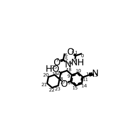 CC(=O)NN(C(C)=O)[C@@H]1c2cc(C#N)ccc2OC2(CCCCC2)[C@H]1O